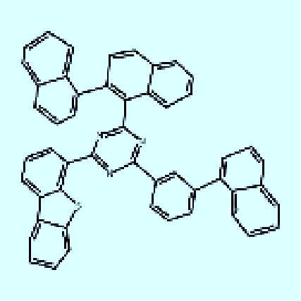 c1cc(-c2nc(-c3c(-c4cccc5ccccc45)ccc4ccccc34)nc(-c3cccc4c3sc3ccccc34)n2)cc(-c2cccc3ccccc23)c1